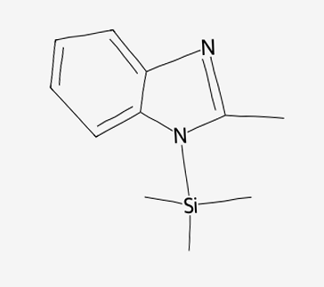 Cc1nc2ccccc2n1[Si](C)(C)C